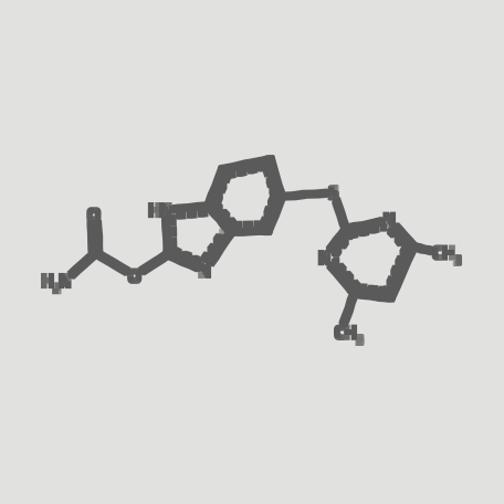 Cc1cc(C)nc(Sc2ccc3[nH]c(OC(N)=O)nc3c2)n1